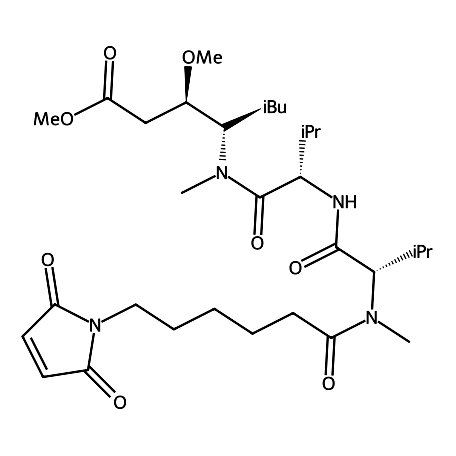 CC[C@H](C)[C@@H]([C@@H](CC(=O)OC)OC)N(C)C(=O)[C@@H](NC(=O)[C@H](C(C)C)N(C)C(=O)CCCCCN1C(=O)C=CC1=O)C(C)C